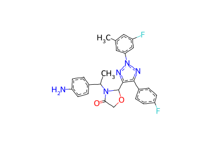 Cc1cc(F)cc(-n2nc(-c3ccc(F)cc3)c(C3OCC(=O)N3C(C)c3ccc(N)cc3)n2)c1